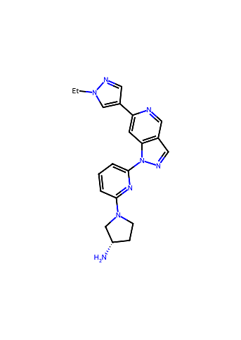 CCn1cc(-c2cc3c(cn2)cnn3-c2cccc(N3CC[C@H](N)C3)n2)cn1